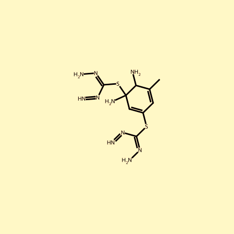 CC1=CC(SC(N=N)=NN)=CC(N)(SC(N=N)=NN)C1N